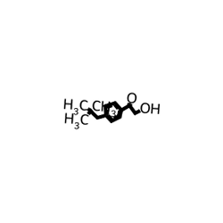 CC(C)(C)Cc1ccc(C(=O)CO)cc1